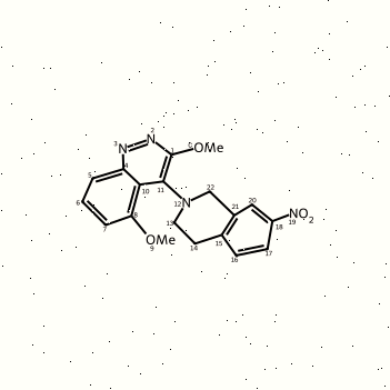 COc1nnc2cccc(OC)c2c1N1CCc2ccc([N+](=O)[O-])cc2C1